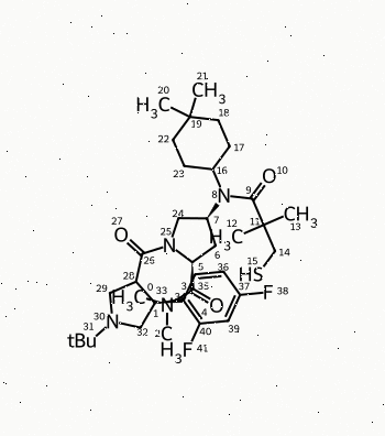 CN(C)C(=O)[C@@H]1C[C@H](N(C(=O)C(C)(C)CS)C2CCC(C)(C)CC2)CN1C(=O)C1CN(C(C)(C)C)C[C@@H]1c1ccc(F)cc1F